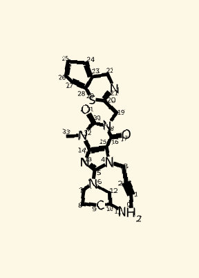 CC#CCn1c(N2CCCC(N)C2)nc2c1c(=O)n(CC1=NCc3ccccc3S1)c(=O)n2C